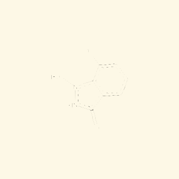 CC(C)c1cccc2c(=O)[nH]n(C)c12